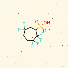 O=S(=O)(O)C1CC(F)(F)CCC(F)(F)C1(F)F